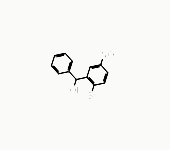 O=[N+]([O-])c1ccc(Br)c(C(O)c2ccccc2)c1